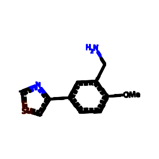 COc1ccc(-c2cs[c]n2)cc1CN